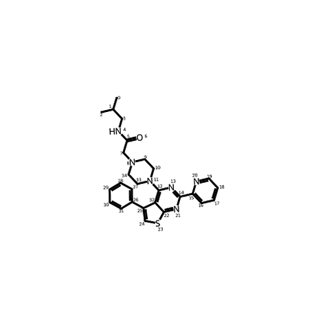 CC(C)CNC(=O)CN1CCN(c2nc(-c3ccccn3)nc3scc(-c4ccccc4)c23)CC1